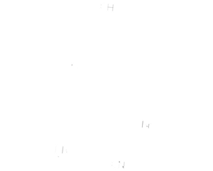 Bc1cc(OCC=C)c(F)c(Br)c1C#N